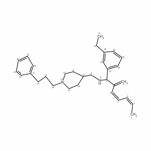 C=C(/C=C\C=C/C)C(NCC1CCN(CCCc2ccccc2)CC1)c1cccc(CC)c1